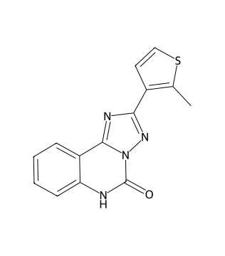 Cc1sccc1-c1nc2c3ccccc3[nH]c(=O)n2n1